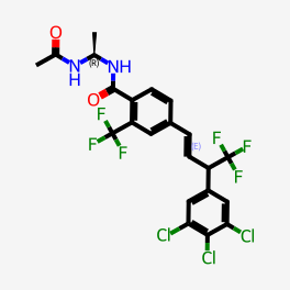 CC(=O)N[C@@H](C)NC(=O)c1ccc(/C=C/C(c2cc(Cl)c(Cl)c(Cl)c2)C(F)(F)F)cc1C(F)(F)F